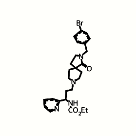 CCOC(=O)NC(CCN1CCC2(CC1)CCN(Cc1ccc(Br)cc1)C2=O)c1ccccn1